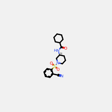 N#Cc1ccccc1S(=O)(=O)N1CCC[C@H](NC(=O)C2CCCCC2)C1